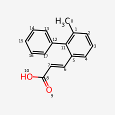 Cc1cccc(C=CC(=O)O)c1-c1ccccc1